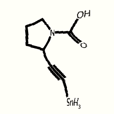 O=C(O)N1CCCC1C#[C][SnH3]